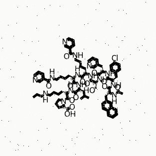 CCCNCCCC[C@H](NC(=O)[C@H](CC(C)C)NC(=O)[C@@H](CCCCNC(=O)c1cccnc1)NC(=O)[C@@H](CCCCNC(=O)c1cccnc1)NC(=O)[C@@H](CO)NC(=O)[C@H](Cc1cccnc1)NC(=O)[C@@H](Cc1ccc(Cl)cc1)NC(=O)[C@H](Cc1ccc2ccccc2c1)NC(C)=O)C(=O)N1CCC[C@H]1C(=O)O